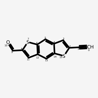 C#Cc1cc2cc3sc(C=O)cc3cc2s1